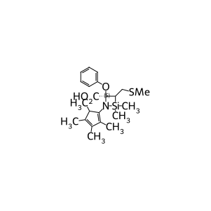 CSCC1[C@@](Oc2ccccc2)(C(=O)O)N(C2=C(C)C(C)=C(C)C2C)[Si]1(C)C